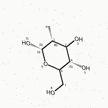 C[C@@H]1C(O)[C@H](O)C(CO)O[C@@H]1O